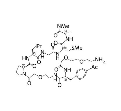 CNC(=O)[C@H](C)NC(=O)[C@H](CSC)NC(=O)CNC(=O)[C@H](CC(C)C)NC(=O)[C@@H]1CCCN1C(=O)COCCNC(=O)[C@H](Cc1ccc(C(C)=O)cc1)NC(=O)COCCOCCN